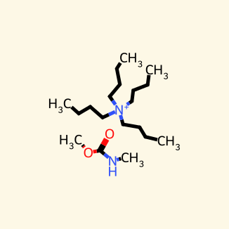 CCCC[N+](CCCC)(CCCC)CCCC.CNC(=O)OC